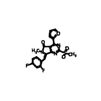 CN1C(=O)c2c(nc(S(C)(=O)=O)nc2-c2ccco2)/C1=C/c1ccc(F)cc1F